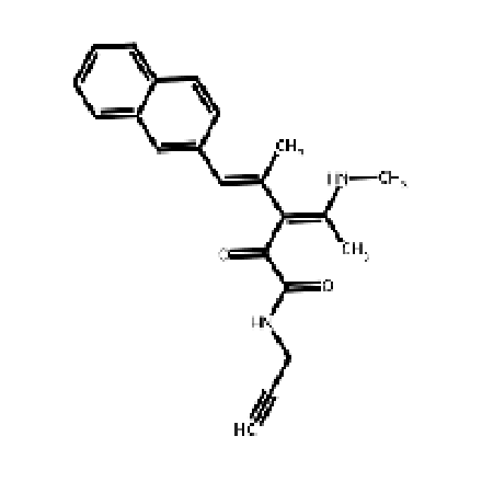 C#CCNC(=O)C(=O)C(/C(C)=C/c1ccc2ccccc2c1)=C(\C)NC